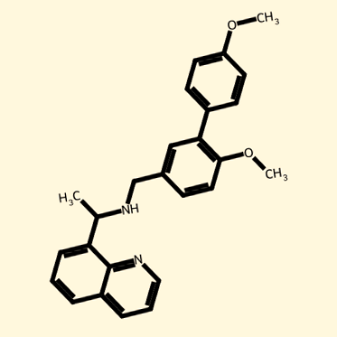 COc1ccc(-c2cc(CNC(C)c3cccc4cccnc34)ccc2OC)cc1